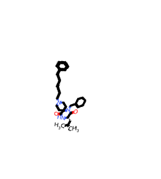 CC(C)C[C@@H]1NC(=O)C2(CCN(CCCCCc3ccccc3)CC2)N(CC2CCCCC2)C1=O